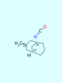 C[C@@H]1C[C@@H]2CCC[C@](N=C=O)(C1)C2